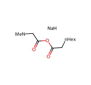 CCCCCCCC(=O)OC(=O)CNC.[NaH]